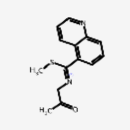 CS/C(=N\CC(C)=O)c1cccc2ncccc12